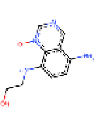 Nc1ccc(NCCO)c2c1cnc[n+]2[O-]